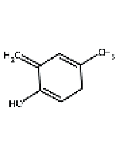 C=C1C=C(C)CC=C1O